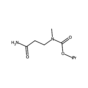 CC(C)OC(=O)N(C)CCC(N)=O